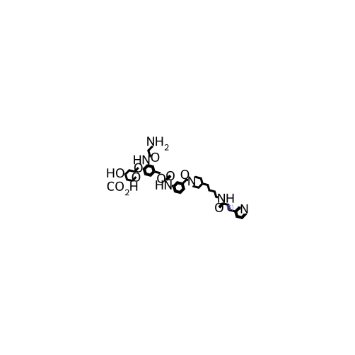 NCCC(=O)Nc1cc(COC(=O)Nc2cccc(C(=O)N3CCC(CCCCNC(=O)/C=C/c4cccnc4)CC3)c2)ccc1OC1CC(O)CC(C(=O)O)O1